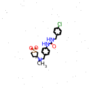 CN(Cc1ccc(NC(=O)NCc2ccc(Cl)cc2)cc1)[C@@H]1CCS(=O)(=O)C1